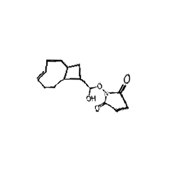 O=C1CCC(=O)N1OC(O)C1CC2CC/C=C/CCC21